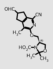 Cc1c(OC[C@H]2COC(C)(C)N2C(=O)O)nc(C#N)c2c1CC(C=O)C2